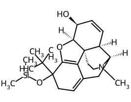 CN1CC[C@]23C4=C5O[C@H]2[C@@H](O)C=C[C@H]3[C@H]1CC4=CCC5(O[SiH](C)C)C(C)(C)C